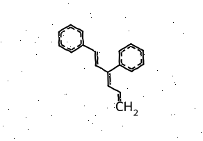 C=CC=C(C=Cc1ccccc1)c1ccccc1